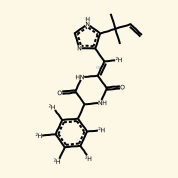 [2H]/C(=C1/NC(=O)C(c2c([2H])c([2H])c([2H])c([2H])c2[2H])NC1=O)c1nc[nH]c1C(C)(C)C=C